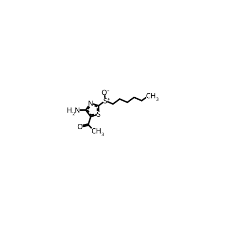 CCCCCC[S+]([O-])c1nc(N)c(C(C)=O)s1